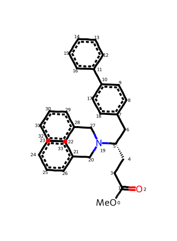 COC(=O)CC[C@@H](Cc1ccc(-c2ccccc2)cc1)N(Cc1ccccc1)Cc1ccccc1